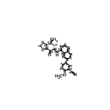 COc1ncc(-c2ccc3ncnc(N[C@@H](C[Se]C)C(=O)N4CCCC4)c3n2)cc1C#N